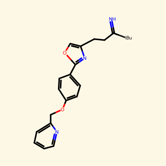 CCC(C)C(=N)CCc1coc(-c2ccc(OCc3ccccn3)cc2)n1